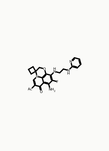 CC(=O)c1cn2c3c(c(NCCNc4ccccn4)c(F)c(N)c3c1=O)OCC21CCC1